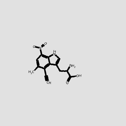 C#Cc1c(C)cc([N+](=O)[O-])c2[nH]cc(CC(N)C(=O)O)c12